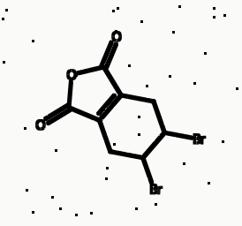 O=C1OC(=O)C2=C1CC(Br)C(Br)C2